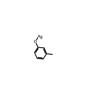 Cc1cccc([O][Ag])c1